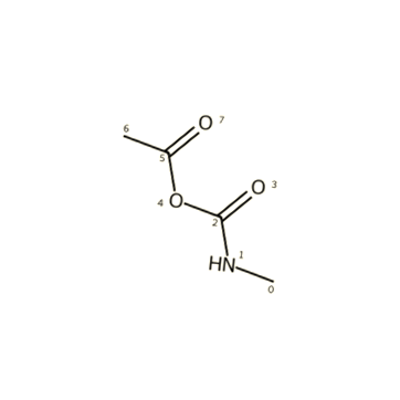 CNC(=O)OC(C)=O